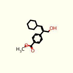 COC(=O)c1ccc(/C(=C\C2CCCCC2)CO)cc1